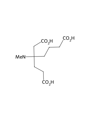 CNC(CCCC(=O)O)(CCC(=O)O)CC(=O)O